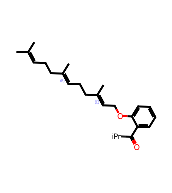 CC(C)=CCC/C(C)=C/CC/C(C)=C/COc1ccccc1C(=O)C(C)C